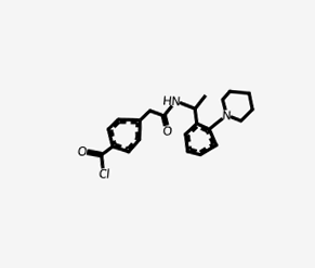 CC(NC(=O)Cc1ccc(C(=O)Cl)cc1)c1ccccc1N1CCCCC1